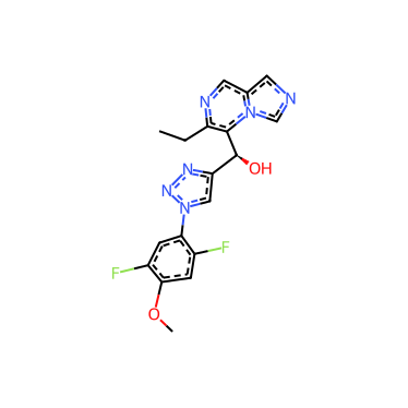 CCc1ncc2cncn2c1[C@@H](O)c1cn(-c2cc(F)c(OC)cc2F)nn1